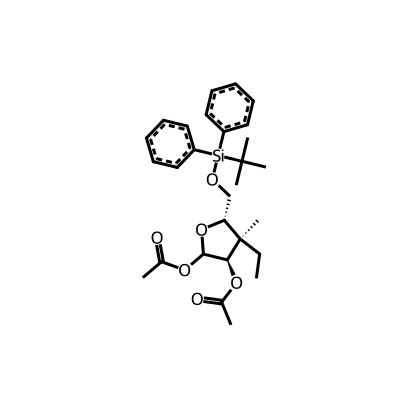 CC[C@]1(C)[C@@H](CO[Si](c2ccccc2)(c2ccccc2)C(C)(C)C)OC(OC(C)=O)[C@@H]1OC(C)=O